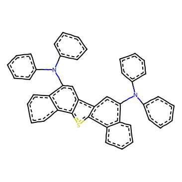 c1ccc(N(c2ccccc2)c2cc3c4cc(N(c5ccccc5)c5ccccc5)c5ccccc5c4sc3c3ccccc23)cc1